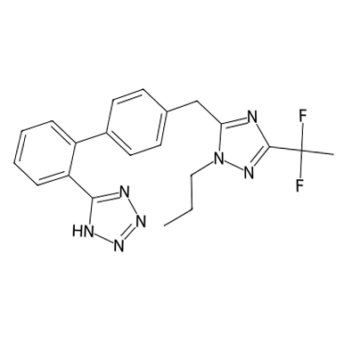 CCCn1nc(C(C)(F)F)nc1Cc1ccc(-c2ccccc2-c2nnn[nH]2)cc1